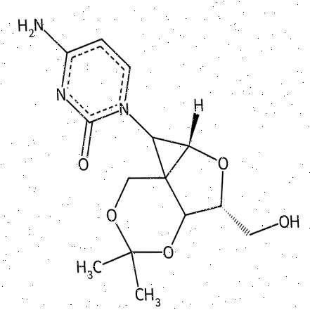 CC1(C)OCC23C(O1)[C@@H](CO)O[C@H]2C3n1ccc(N)nc1=O